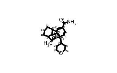 COC1(c2cccc(C(N)=O)c2)C2CCCC1CN(CC1CCOCC1)C2